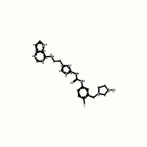 O=C(Nc1ccc(F)c(CN2CC[C@@H](O)C2)c1)Nc1ncc(CCNc2ncnc3ccsc23)s1